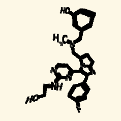 CN(Cc1cccc(O)c1)CC1CCc2nc(-c3ccc(F)cc3)c(-c3ccnc(NCCO)n3)n21